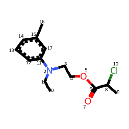 CCN(CCOC(=O)C(C)Cl)c1cccc(C)c1